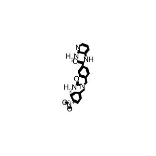 NC(=O)N(Cc1ccc(C(=O)Nc2cccnc2N)cc1)Cc1ccc([N+](=O)[O-])cc1